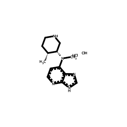 C[C@@H]1CCNC[C@@H]1N(C)c1ccnc2[nH]cnc12.Cl.Cl